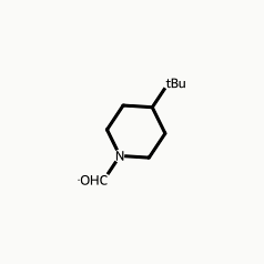 CC(C)(C)C1CCN([C]=O)CC1